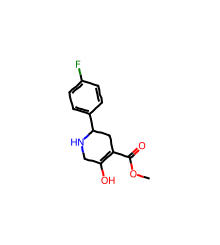 COC(=O)C1=C(O)CNC(c2ccc(F)cc2)C1